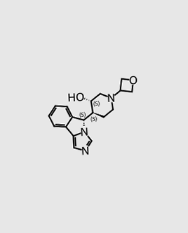 O[C@@H]1CN(C2COC2)CC[C@H]1[C@H]1c2ccccc2-c2cncn21